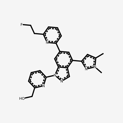 Cc1cc(-c2cc(-c3cccc(CCF)n3)cc3c2cnn3-c2cccc(CO)n2)nn1C